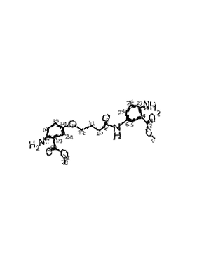 COC(=O)c1cc(NC(=O)CCCOc2ccc(N)c(C(=O)OC)c2)ccc1N